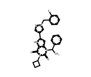 CC(c1ccccc1)n1c(=O)n(C2CCC2)c(=O)c2[nH]c(-c3cnn(Cc4ccccc4F)c3)cc21